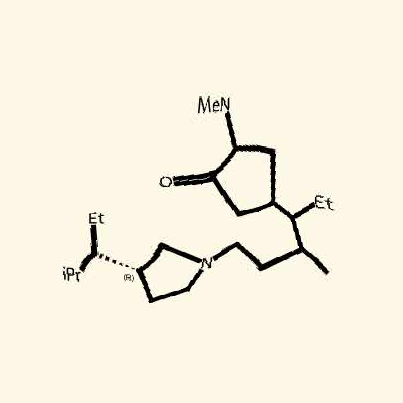 CCC(C(C)CCN1CC[C@H](C(CC)C(C)C)C1)C1CC(=O)C(NC)C1